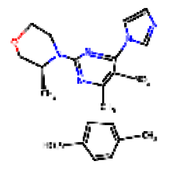 Cc1ccc(S(=O)(=O)O)cc1.Cc1nc(N2CCOC[C@@H]2C)nc(-n2ccnc2)c1[N+](=O)[O-]